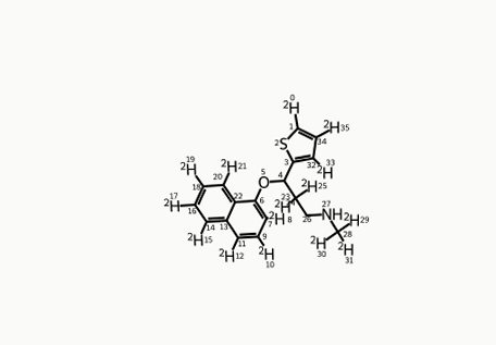 [2H]c1sc(C(Oc2c([2H])c([2H])c([2H])c3c([2H])c([2H])c([2H])c([2H])c23)C([2H])([2H])CNC([2H])([2H])[2H])c([2H])c1[2H]